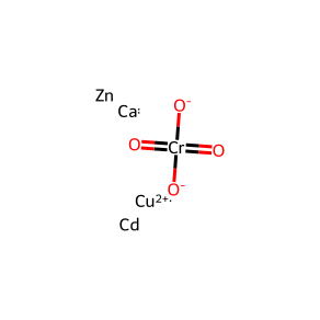 [Ca].[Cd].[Cu+2].[O]=[Cr](=[O])([O-])[O-].[Zn]